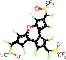 [O-][S+](/C(F)=c1\c(F)c2oc3c(F)/c(=C(\F)[S+]([O-])C(F)(F)F)c(F)c3c3c(F)/c(=C(\F)[S+]([O-])C(F)(F)F)c(F)c3c2c1F)C(F)(F)F